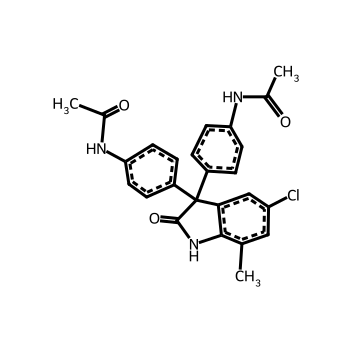 CC(=O)Nc1ccc(C2(c3ccc(NC(C)=O)cc3)C(=O)Nc3c(C)cc(Cl)cc32)cc1